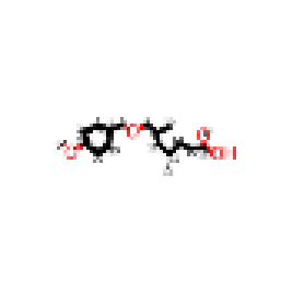 COc1ccc(COCC(C)C[C@@H](C)CCC(=O)O)cc1